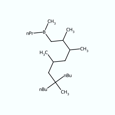 CCCCC(C)(CCCC)CC(C)CC(C)C(C)CB(C)CCC